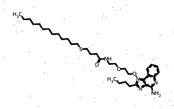 CCCCCCCCCCCCCSCCCC(=O)NCCOCCOn1c(CCCC)nc2c(N)nc3ccccc3c21